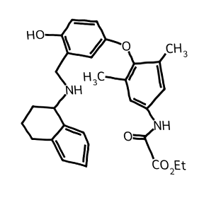 CCOC(=O)C(=O)Nc1cc(C)c(Oc2ccc(O)c(CNC3CCCc4ccccc43)c2)c(C)c1